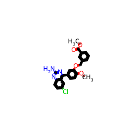 COC(=O)c1cccc(COc2cc(-c3nc(N)nc4ccc(Cl)cc34)ccc2OC)c1